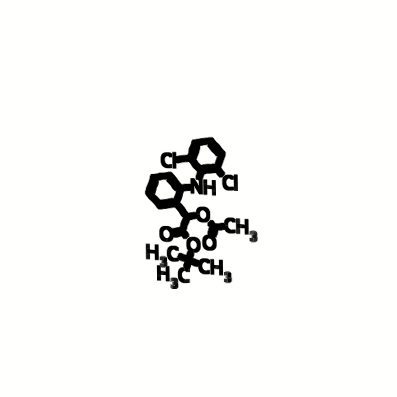 CC(=O)OC(C(=O)OC(C)(C)C)c1ccccc1Nc1c(Cl)cccc1Cl